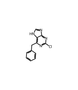 Clc1nc(Cc2ccccc2)c2[nH]cnc2n1